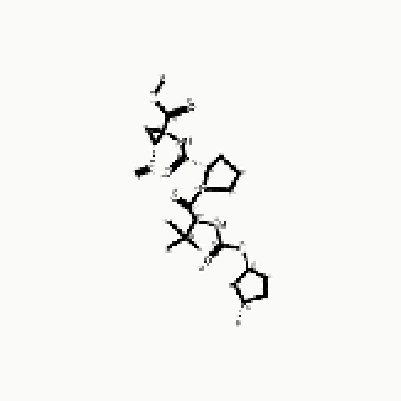 C=C[C@@H]1C[C@]1(NC(=O)[C@@H]1CCCN1C(=O)[C@@H](NC(=O)O[C@H]1CC[C@H](C)C1)C(C)(C)C)C(=O)OC